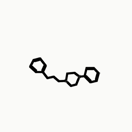 [c]1ccc(N2CCN(CCCc3ccccc3)CC2)cc1